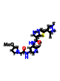 COC1CCN(CC(=O)Nc2cnc(C)c(NC(=O)c3cnn4cc(-c5cn(C)nc5C)sc34)c2)C1